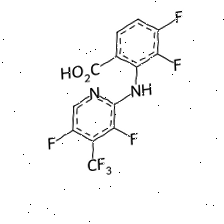 O=C(O)c1ccc(F)c(F)c1Nc1ncc(F)c(C(F)(F)F)c1F